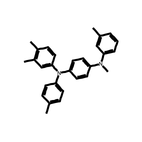 Cc1ccc(N(c2ccc(N(C)c3cccc(C)c3)cc2)c2ccc(C)c(C)c2)cc1